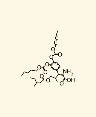 CCCCCOC(=O)Oc1ccc(C(C(C)COC(=O)CC(C)CC)[C@H](N)C(=O)O)cc1OC(=O)OCCCCC